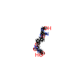 COc1nc(O[C@H]2CCc3c(-c4cccc(-c5nc6cc(CN7CC[C@@H](O)C7)cc(C#N)c6o5)c4C)cccc32)ccc1CN1CC[C@@H](C(=O)O)C1